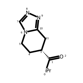 CC(C)C(=O)[C@@H]1CCn2cnnc2C1